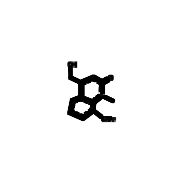 COc1cccc2c(CO)cc(=O)n(C)c12